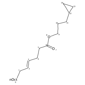 CCCCCCCCCC=CCCC(=O)OCCCC1CC1